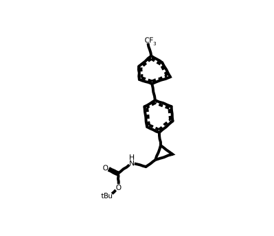 CC(C)(C)OC(=O)NCC1CC1c1ccc(-c2ccc(C(F)(F)F)cc2)cc1